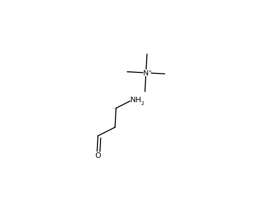 C[N+](C)(C)C.N[CH]CC=O